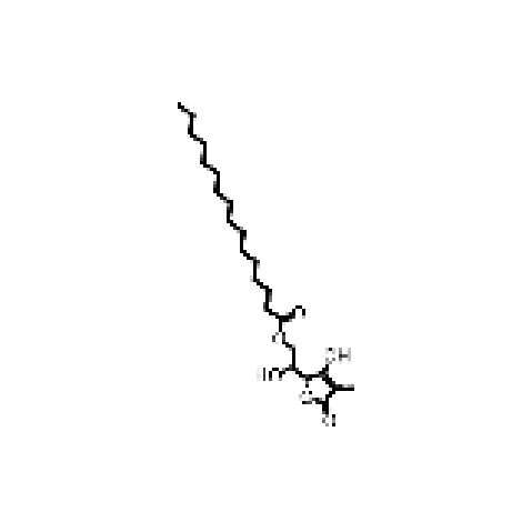 CCCCCCCCCCCCCCCC(=O)OC[C@H](O)[C@H]1OC(=O)C(C)=C1O